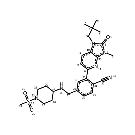 Cn1c(=O)n(CC(C)(C)C)c2ccc(-c3cc(CNC4CCN(S(C)(=O)=O)CC4)ccc3C#N)nc21